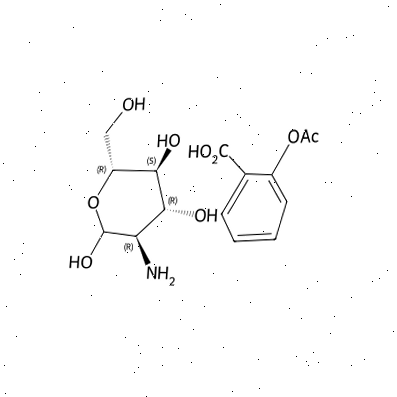 CC(=O)Oc1ccccc1C(=O)O.N[C@H]1C(O)O[C@H](CO)[C@@H](O)[C@@H]1O